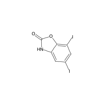 O=c1[nH]c2cc(I)cc(I)c2o1